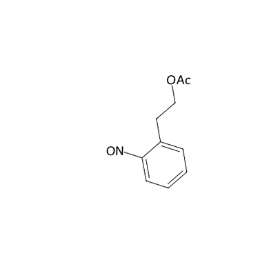 CC(=O)OCCc1ccccc1N=O